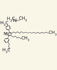 CCCCCCCCCCCCCCCCCCCC1=C(c2ccc(C)cc2)[N+](=[N-])C(c2cccc(CCCC)c2)=C1CCCCCC.C[CH2][Ni][CH2]C